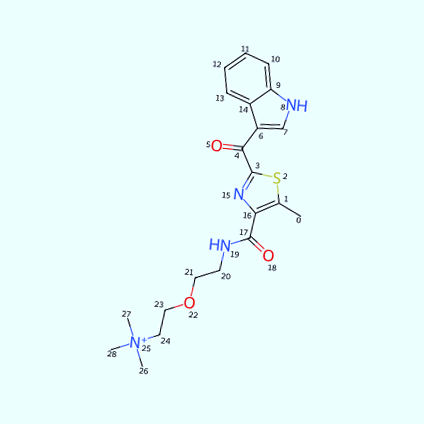 Cc1sc(C(=O)c2c[nH]c3ccccc23)nc1C(=O)NCCOCC[N+](C)(C)C